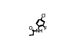 CCC(=O)Nc1ccc(Cl)cc1F